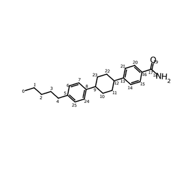 CCCCCc1ccc(C2CCC(c3ccc(C(N)=O)cc3)CC2)cc1